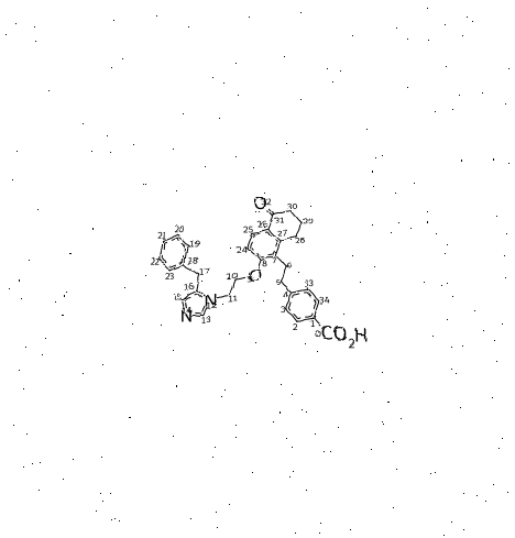 O=C(O)c1ccc(CCc2c(OCCn3cncc3Cc3ccccc3)ccc3c2CCCC3=O)cc1